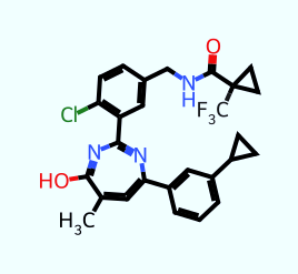 CC1=C=C(c2cccc(C3CC3)c2)N=C(c2cc(CNC(=O)C3(C(F)(F)F)CC3)ccc2Cl)N=C1O